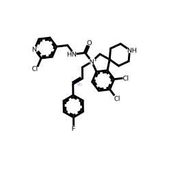 O=C(NCc1ccnc(Cl)c1)[N+]1(C/C=C/c2ccc(F)cc2)CC2(CCNCC2)c2c1ccc(Cl)c2Cl